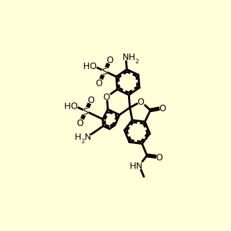 CNC(=O)c1ccc2c(c1)C(=O)OC21c2ccc(N)c(S(=O)(=O)O)c2Oc2c1ccc(N)c2S(=O)(=O)O